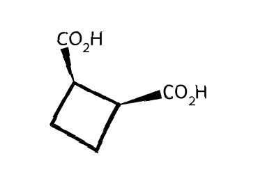 O=C(O)[C@H]1CC[C@H]1C(=O)O